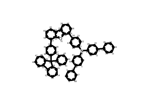 c1ccc(-c2ccc(N(c3ccc(-c4ccccc4)cc3)c3ccc(-c4cccc5c4oc4c(-c6ccc(C7(c8ccccc8)c8ccccc8-c8ccccc87)cc6)cccc45)cc3)cc2)cc1